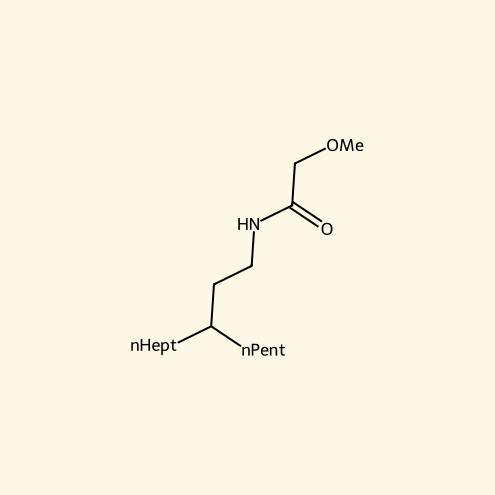 CCCCCCCC(CCCCC)CCNC(=O)COC